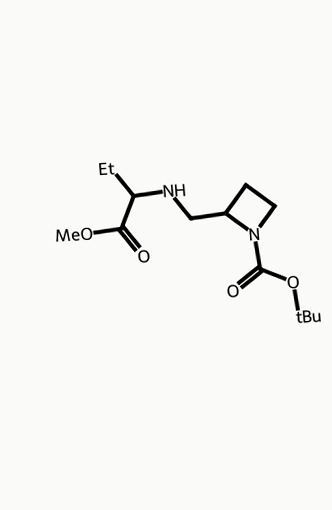 CCC(NCC1CCN1C(=O)OC(C)(C)C)C(=O)OC